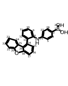 OB(O)c1ccc(Nc2ccccc2-c2cccc3oc4ccccc4c23)cc1